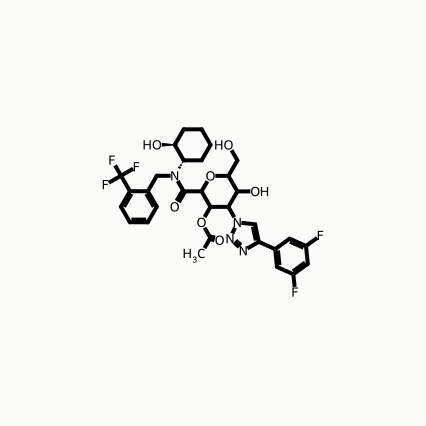 CC(=O)OC1C(C(=O)N(Cc2ccccc2C(F)(F)F)[C@H]2CCCC[C@@H]2O)OC(CO)C(O)C1n1cc(-c2cc(F)cc(F)c2)nn1